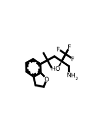 CC(C)(C[C@@](O)(CN)C(F)(F)F)c1cccc2c1OCC2